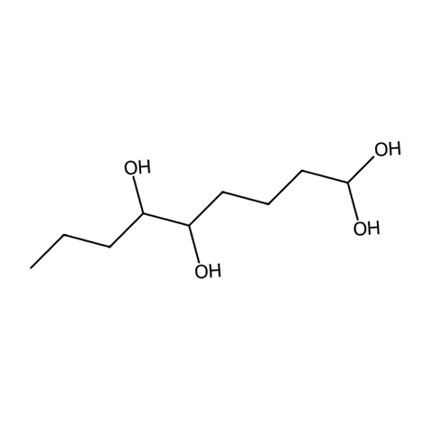 CCCC(O)C(O)CCCC(O)O